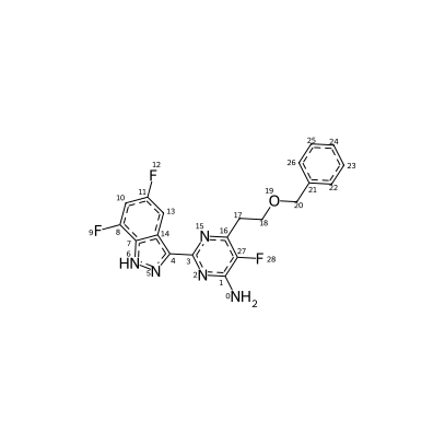 Nc1nc(-c2n[nH]c3c(F)cc(F)cc23)nc(CCOCc2ccccc2)c1F